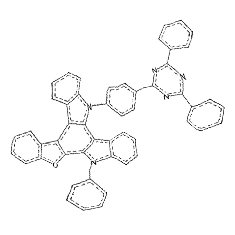 c1ccc(-c2nc(-c3ccccc3)nc(-c3ccc(-n4c5ccccc5c5c6c7ccccc7oc6c6c(c7ccccc7n6-c6ccccc6)c54)cc3)n2)cc1